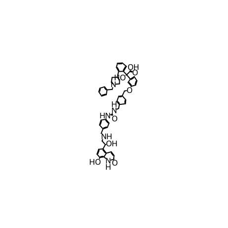 O=C(NCc1ccc(COc2cccc([C@@](O)(C(=O)O)c3ccccc3C3CCN(Cc4ccccc4)CC3)c2)cc1)Nc1ccc(CNC[C@H](O)c2ccc(O)c3[nH]c(=O)ccc23)cc1